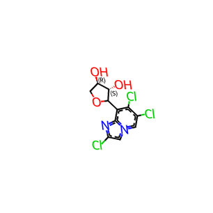 O[C@@H]1COC(c2c(Cl)c(Cl)cn3cc(Cl)nc23)[C@H]1O